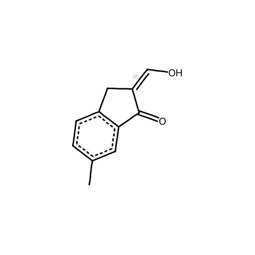 Cc1ccc2c(c1)C(=O)/C(=C\O)C2